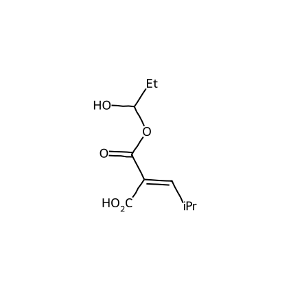 CCC(O)OC(=O)C(=CC(C)C)C(=O)O